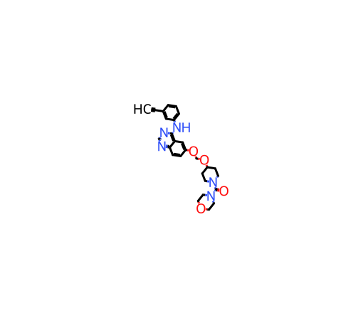 C#Cc1cccc(Nc2ncnc3ccc(OCOC4CCN(C(=O)N5CCOCC5)CC4)cc23)c1